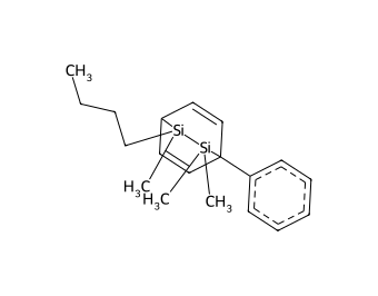 CCCC[Si]1(C)C2C=CC(c3ccccc3)(C=C2)[Si]1(C)C